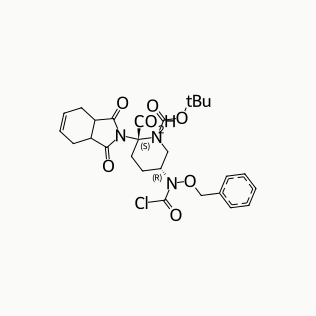 CC(C)(C)OC(=O)N1C[C@H](N(OCc2ccccc2)C(=O)Cl)CC[C@]1(C(=O)O)N1C(=O)C2CC=CCC2C1=O